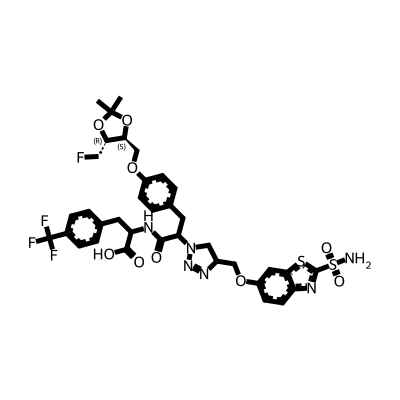 CC1(C)O[C@@H](CF)[C@H](COc2ccc(CC(C(=O)NC(Cc3ccc(C(F)(F)F)cc3)C(=O)O)N3CC(COc4ccc5nc(S(N)(=O)=O)sc5c4)N=N3)cc2)O1